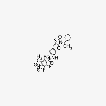 Cc1c(F)c(S(=O)(=O)Nc2ccc(C=C3SC(=O)N(C(C)C4CCCCC4)C3=O)cc2)c(F)c(F)c1[N+](=O)[O-]